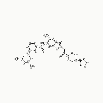 Cc1cc2nn(CC(=O)N3CCC(N4CCCC4)CC3)cc2cc1NC(=O)c1cccc(N2C[C@@H](C)O[C@@H](C)C2)n1